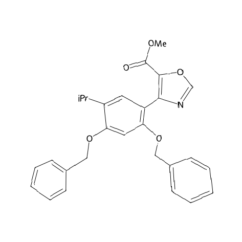 COC(=O)c1ocnc1-c1cc(C(C)C)c(OCc2ccccc2)cc1OCc1ccccc1